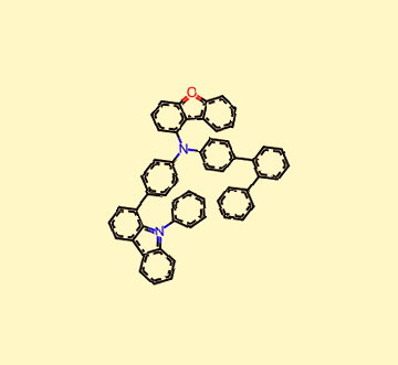 c1ccc(-c2ccccc2-c2ccc(N(c3ccc(-c4cccc5c6ccccc6n(-c6ccccc6)c45)cc3)c3cccc4oc5ccccc5c34)cc2)cc1